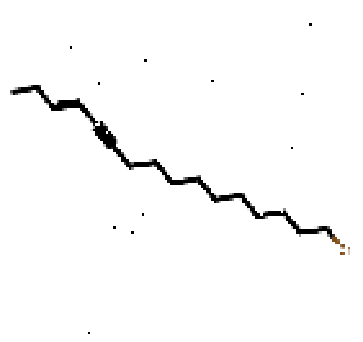 CCC=CC#CCCCCCCCCCCBr